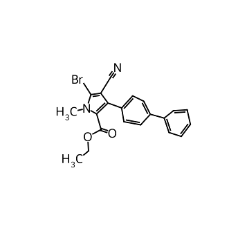 CCOC(=O)c1c(-c2ccc(-c3ccccc3)cc2)c(C#N)c(Br)n1C